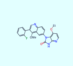 CCOc1ccnc2[nH]c(=O)n(-c3ccc4ncc(-c5ccccc5F)c(OC)c4c3)c12